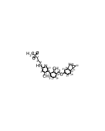 Cc1cc(NCCCS(C)(=O)=O)ncc1-c1cccc(COc2ccc3c(c2)CC2CC32)c1C